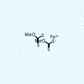 COC(=S)[S-].COC(=S)[S-].[Fe+2]